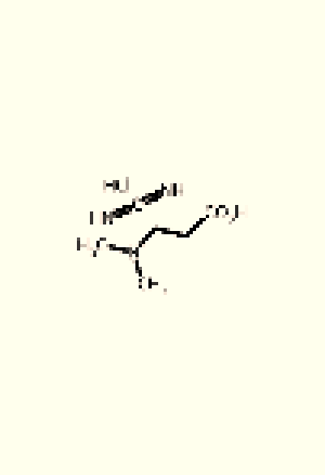 CN(C)CCC(=O)O.Cl.N=C=N